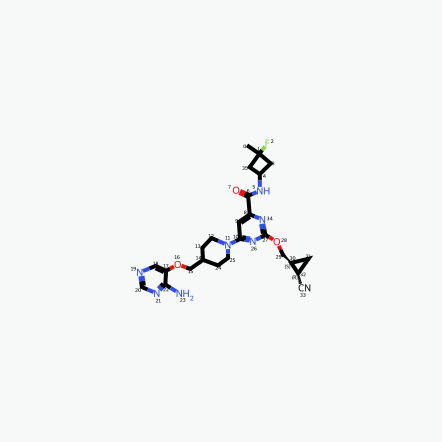 CC1(F)CC(NC(=O)c2cc(N3CCC(COc4cncnc4N)CC3)nc(OC[C@H]3C[C@H]3C#N)n2)C1